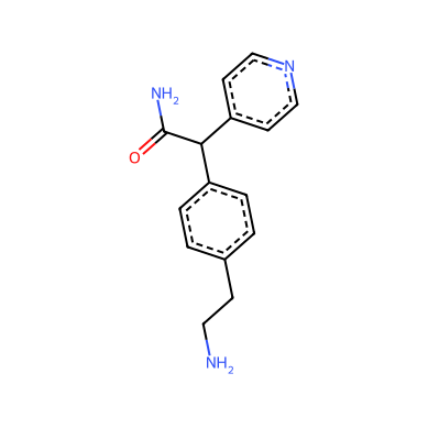 NCCc1ccc(C(C(N)=O)c2ccncc2)cc1